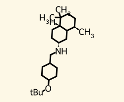 C[C@@H]1CCC(C)(C)[C@H]2CC[C@@H](NCC3CCC(OC(C)(C)C)CC3)CC12